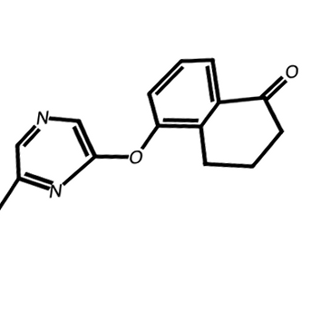 O=C1CCCc2c(Oc3cncc(Cl)n3)cccc21